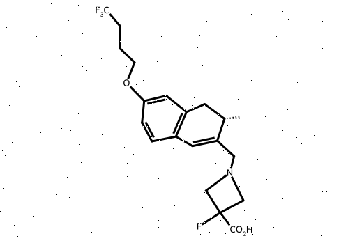 C[C@H]1Cc2cc(OCCCC(F)(F)F)ccc2C=C1CN1CC(F)(C(=O)O)C1